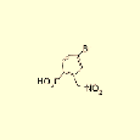 O=C(O)c1ccc(Br)cc1C[N+](=O)[O-]